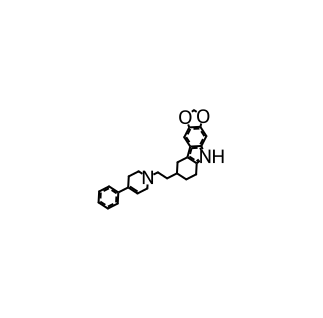 C1=C(c2ccccc2)CCN(CCC2CCc3[nH]c4cc5c(cc4c3C2)OCO5)C1